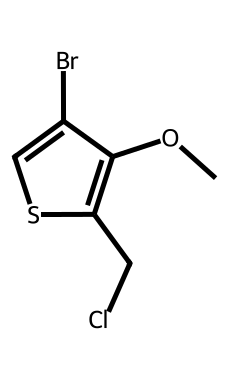 COc1c(Br)csc1CCl